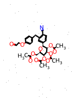 CC(=O)OC[C@H]1O[C@@H](c2ccc(C#N)c(Cc3ccc(OCC=O)cc3)c2)[C@H](OC(C)=O)[C@@H](OC(C)=O)[C@@H]1OC(C)=O